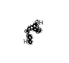 O=C(O)CC(CC1CCN(C(=O)CCc2ccc3c(n2)NCCC3)CC1)c1ccc2c(c1)OCCO2